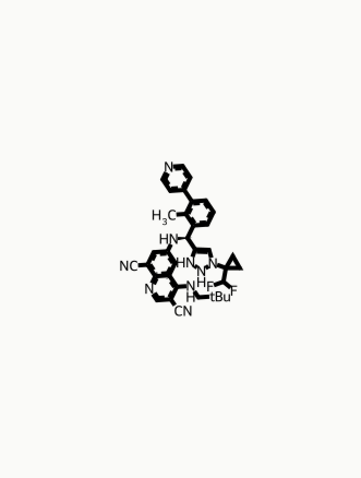 Cc1c(-c2ccncc2)cccc1[C@H](Nc1cc(C#N)c2ncc(C#N)c(NCC(C)(C)C)c2c1)C1=CN(C2(C(F)F)CC2)NN1